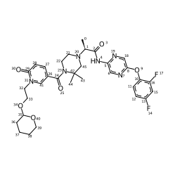 C[C@@H](C(=O)Nc1cnc(Oc2ccc(F)cc2F)cn1)N1CCN(C(=O)c2ccc(=O)n(CCOC3CCCCO3)c2)C(C)(C)C1